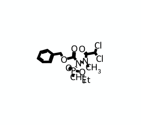 CCOP(C)(=O)N(C(=O)OCc1ccccc1)N(C)C(=O)C(Cl)Cl